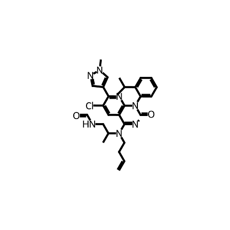 C=CCCN(/C(=N/C)c1cc(Cl)c(-c2cnn(C)c2)nc1N(C=O)c1ccccc1C(C)C)C(C)CNC=O